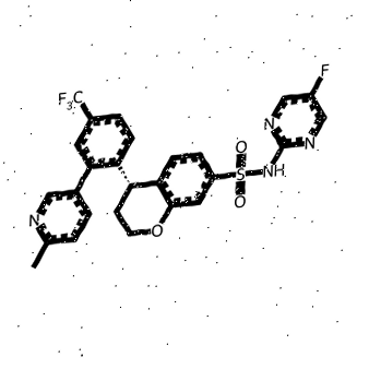 Cc1ccc(-c2cc(C(F)(F)F)ccc2[C@H]2CCOc3cc(S(=O)(=O)Nc4ncc(F)cn4)ccc32)cn1